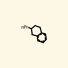 CCCC1[C]c2ccccc2CC1